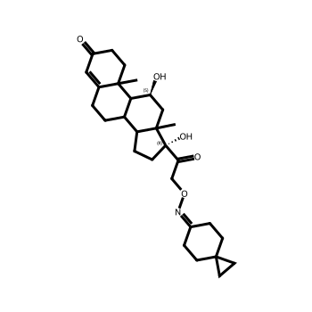 CC12CCC(=O)C=C1CCC1C2[C@@H](O)CC2(C)C1CC[C@]2(O)C(=O)CON=C1CCC2(CC1)CC2